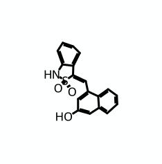 O=S1(=O)Nc2ccccc2C1=Cc1cc(O)cc2ccccc12